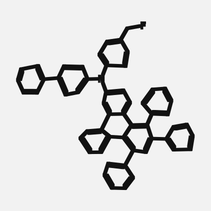 FCc1ccc(N(c2ccc(-c3ccccc3)cc2)c2ccc3c(c2)c2ccccc2c2c(-c4ccccc4)cc(-c4ccccc4)c(-c4ccccc4)c32)cc1